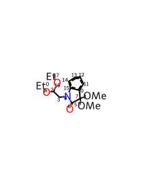 CCOC(CN1C(=O)C(OC)(OC)c2ccccc21)OCC